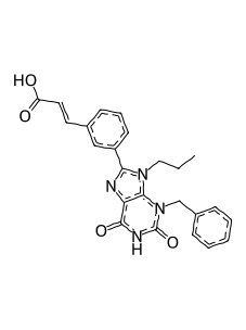 CCCn1c(-c2cccc(/C=C/C(=O)O)c2)nc2c(=O)[nH]c(=O)n(Cc3ccccc3)c21